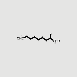 C[C](C=O)CCCCCCC=O